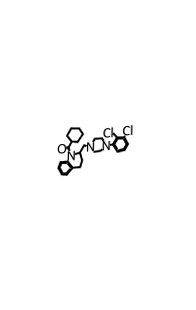 O=C(C1CCCCC1)N1c2ccccc2CCC1CN1CCN(c2cccc(Cl)c2Cl)CC1